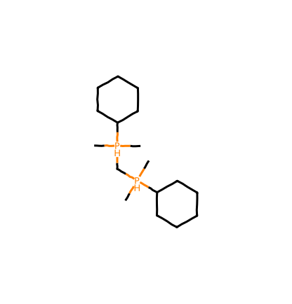 C[PH](C)(C[PH](C)(C)C1CCCCC1)C1CCCCC1